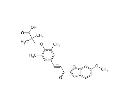 COc1ccc2cc(C(=O)/C=C/c3cc(C)c(OCC(C)(C)C(=O)O)c(C)c3)oc2c1